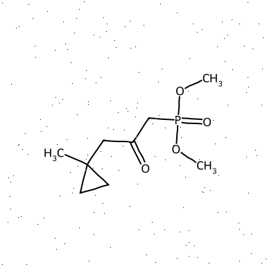 COP(=O)(CC(=O)CC1(C)CC1)OC